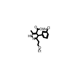 CCOCCC1=NNC(C)=C(C(=O)OC)C1c1cccc(Cl)c1